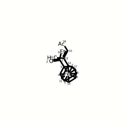 CCC(=O)[C]12[CH]3[CH]4[CH]5[CH]1[Fe]45321678[CH]2[CH]1[CH]6[C]7(C(C)=CC(C)=O)[CH]28